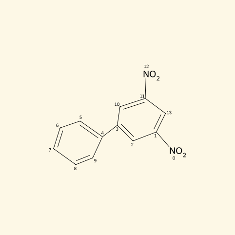 O=[N+]([O-])c1cc(-c2ccccc2)cc([N+](=O)[O-])c1